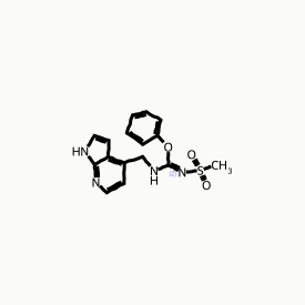 CS(=O)(=O)/N=C(/NCc1ccnc2[nH]ccc12)Oc1ccccc1